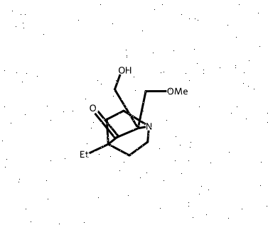 CCC12CCN(CC1)C(CO)(COC)C2=O